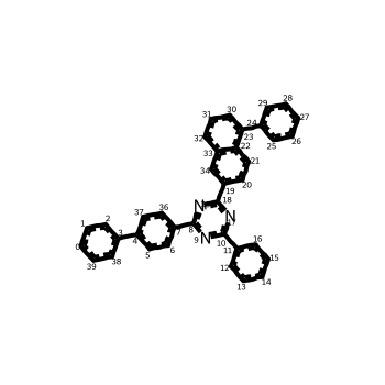 c1ccc(-c2ccc(-c3nc(-c4ccccc4)nc(-c4ccc5c(-c6ccccc6)cccc5c4)n3)cc2)cc1